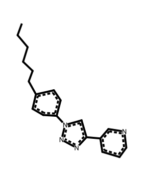 CCCCCCc1ccc(-n2cc(-c3cccnc3)nn2)cc1